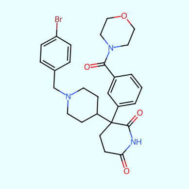 O=C1CCC(c2cccc(C(=O)N3CCOCC3)c2)(C2CCN(Cc3ccc(Br)cc3)CC2)C(=O)N1